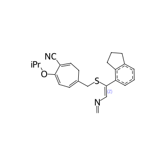 C=N/C=C(\SCC1=CC=C(OC(C)C)C(C#N)=CC1)c1cccc2c1CCC2